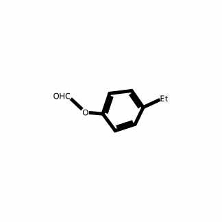 CCc1ccc(OC=O)cc1